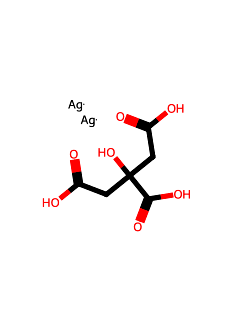 O=C(O)CC(O)(CC(=O)O)C(=O)O.[Ag].[Ag]